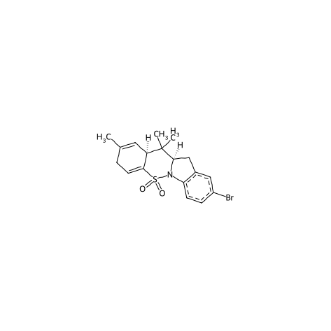 CC1=C[C@@H]2C(=CC1)S(=O)(=O)N1c3ccc(Br)cc3C[C@@H]1C2(C)C